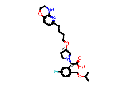 CC(C)OCc1ccc(F)cc1[C@H](C(=O)O)N1CC[C@@H](OCCCCc2ccc3c(n2)NCCO3)C1